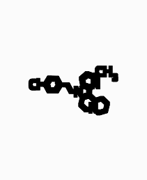 Cc1ccc2c(n1)c1c(n2CCc2ccc(Cl)cc2)CCN2CCCCC12